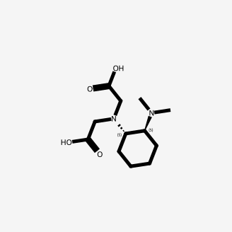 CN(C)[C@H]1CCCC[C@@H]1N(CC(=O)O)CC(=O)O